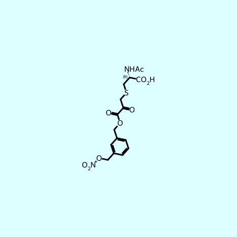 CC(=O)N[C@@H](CSCC(=O)C(=O)OCc1cccc(CO[N+](=O)[O-])c1)C(=O)O